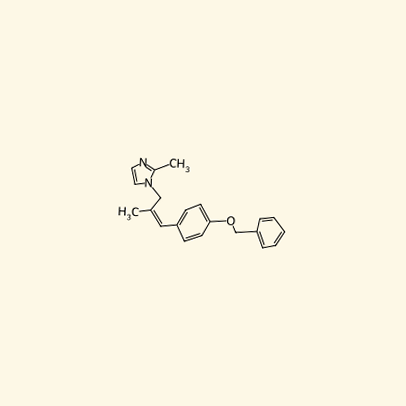 CC(=Cc1ccc(OCc2ccccc2)cc1)Cn1ccnc1C